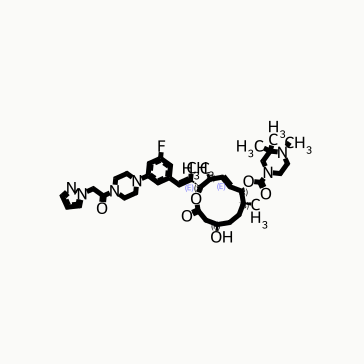 C/C(=C\c1cc(F)cc(N2CCN(C(=O)Cn3cccn3)CC2)c1)[C@H]1OC(=O)C[C@H](O)CC[C@H](C)[C@@H](OC(=O)N2CCN(C)C(C)(C)C2)/C=C/[C@@H]1C